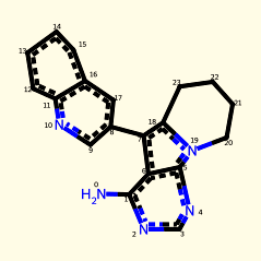 Nc1ncnc2c1c(-c1cnc3ccccc3c1)c1n2CCCC1